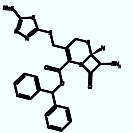 CSc1nnc(SCC2=C(C(=O)OC(c3ccccc3)c3ccccc3)N3C(=O)C(N)[C@@H]3SC2)s1